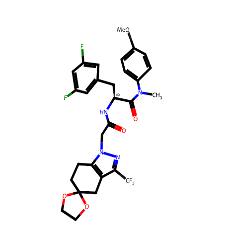 COc1ccc(N(C)C(=O)[C@H](Cc2cc(F)cc(F)c2)NC(=O)Cn2nc(C(F)(F)F)c3c2CCC2(C3)OCCO2)cc1